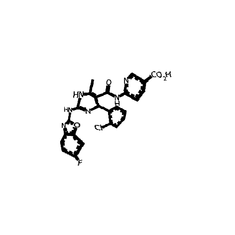 CC1=C(C(=O)Nc2ccc(C(=O)O)cn2)C(c2ccccc2Cl)N=C(Nc2nc3ccc(F)cc3o2)N1